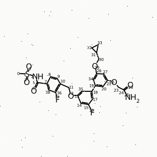 CS(=O)(=O)NC(=O)c1ccc(COc2cc(F)cc(-c3cc(OCC(N)=O)cc(OCC4CC4)c3)c2)c(F)c1